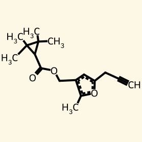 C#CCc1cc(COC(=O)C2C(C)(C)C2(C)C)c(C)o1